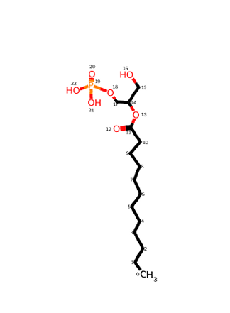 CCCCCCCCCCCC(=O)OC(CO)COP(=O)(O)O